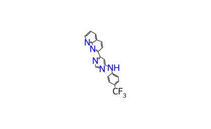 FC(F)(F)c1ccc(Nc2cc(-c3ccc4cccnc4n3)ncn2)cc1